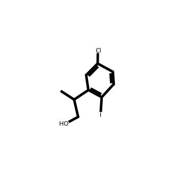 C[C](CO)c1cc(Cl)ccc1I